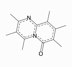 Cc1nc2c(C)c(C)c(C)c(=O)n2c(C)c1C